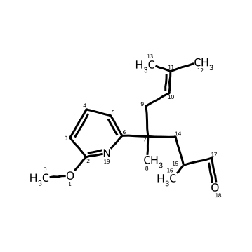 COc1cccc(C(C)(CC=C(C)C)CC(C)C=O)n1